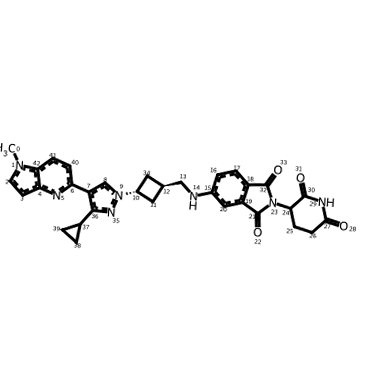 Cn1ccc2nc(-c3cn([C@H]4C[C@H](CNc5ccc6c(c5)C(=O)N(C5CCC(=O)NC5=O)C6=O)C4)nc3C3CC3)ccc21